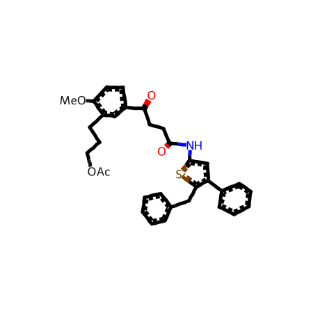 COc1ccc(C(=O)CCC(=O)Nc2cc(-c3ccccc3)c(Cc3ccccc3)s2)cc1CCCOC(C)=O